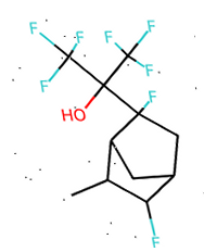 CC1C(F)C2CC1C(F)(C(O)(C(F)(F)F)C(F)(F)F)C2